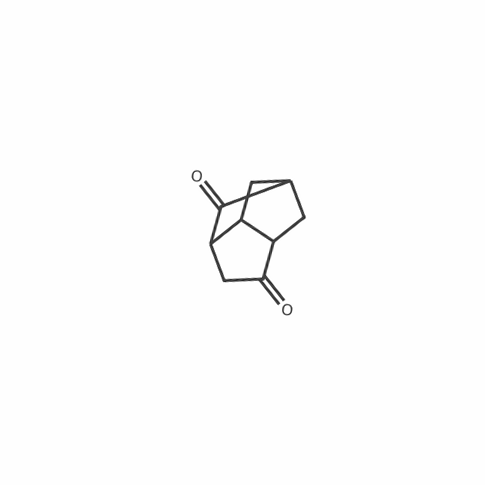 O=C1CC2C(=O)C3CC1C2C3